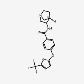 O=C(NC1CN2CC[C@H]1C2)c1ccc(Oc2ccc(C(F)(F)F)s2)cc1